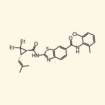 CCC1(CC)[C@@H](C=C(C)C)[C@@H]1C(=O)Nc1nc2ccc(C(=O)Nc3c(C)cccc3Cl)cc2s1